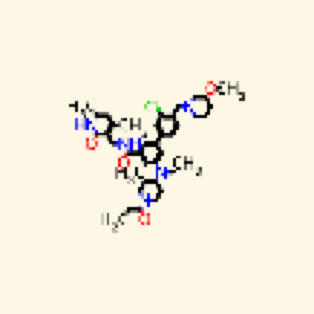 C=CC(=O)N1CCC(N(CC)c2cc(-c3ccc(CN4CCCC(OC)C4)c(Cl)c3)cc(C(=O)NCc3c(C)cc(C)[nH]c3=O)c2C)CC1